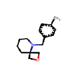 Cc1ccc(CN2CCCCC23COC3)cc1